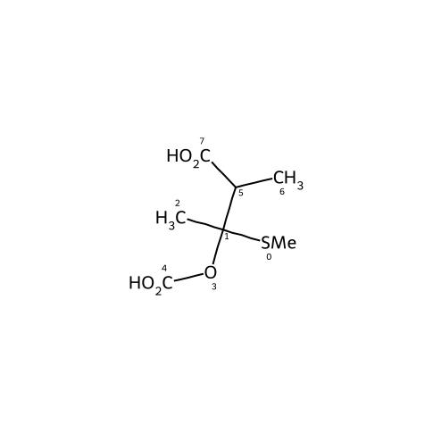 CSC(C)(OC(=O)O)C(C)C(=O)O